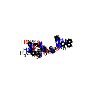 CCc1cccc2cccc(-c3ncc4c(N5CC6CCC(C5)N6)nc(OC[C@@H]5CC[C@@H](COC(=O)N6CCN(c7cc([C@H](C(=O)N8C[C@H](O)C[C@H]8C(=O)N[C@@H](C)c8ccc(-c9scnc9C)cc8)C(C)C)on7)[C@H](C)C6)N5C)nc4c3F)c12